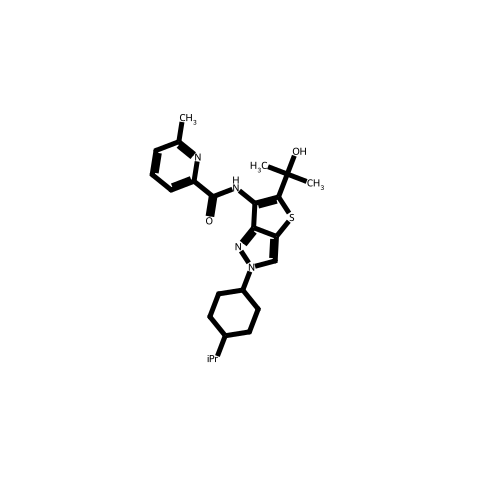 Cc1cccc(C(=O)Nc2c(C(C)(C)O)sc3cn(C4CCC(C(C)C)CC4)nc23)n1